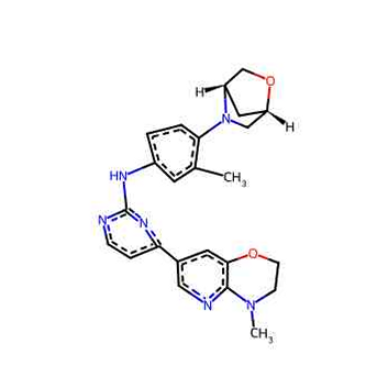 Cc1cc(Nc2nccc(-c3cnc4c(c3)OCCN4C)n2)ccc1N1C[C@@H]2C[C@H]1CO2